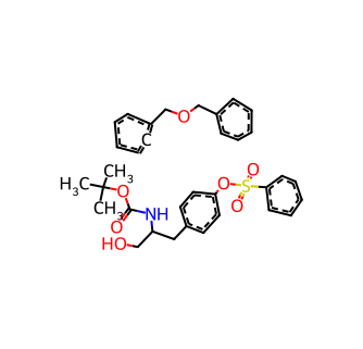 CC(C)(C)OC(=O)NC(CO)Cc1ccc(OS(=O)(=O)c2ccccc2)cc1.c1ccc(COCc2ccccc2)cc1